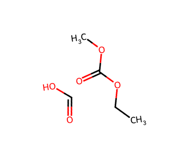 CCOC(=O)OC.O=CO